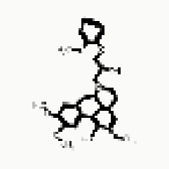 COc1cc2c(cc1OC)-c1c(O)c(OC)cc3c1C(C2)N(CC(O)COc1ccccc1OC)CC3